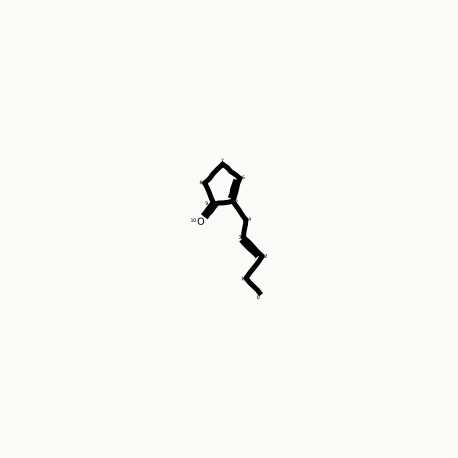 CCC=CCC1=CCCC1=O